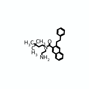 CC(C)(C)CCN(CCN)C(=O)c1cc2ccccc2cc1CCc1ccccc1